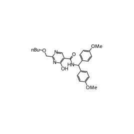 CCCCOCc1ncc(C(=O)NC(c2ccc(OC)cc2)c2ccc(OC)cc2)c(O)n1